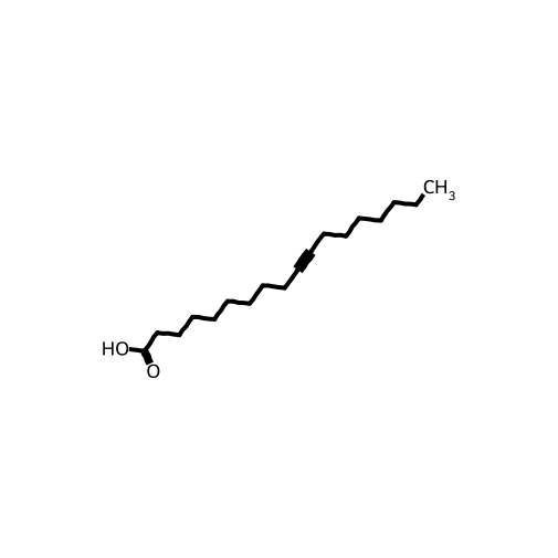 CCCCCCCC#CCCCCCCCCC(=O)O